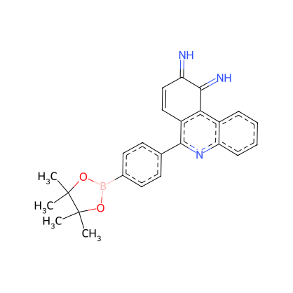 CC1(C)OB(c2ccc(-c3nc4ccccc4c4c3C=CC(=N)C4=N)cc2)OC1(C)C